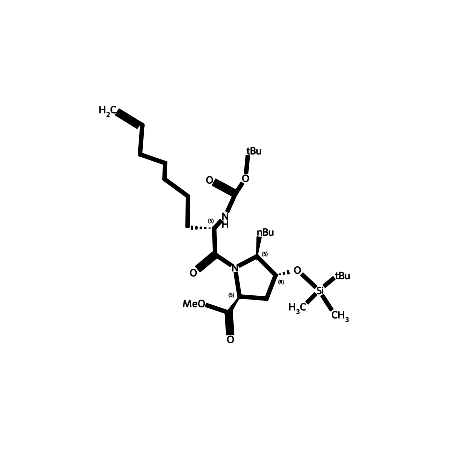 C=CCCCCC[C@H](NC(=O)OC(C)(C)C)C(=O)N1[C@H](C(=O)OC)C[C@@H](O[Si](C)(C)C(C)(C)C)[C@@H]1CCCC